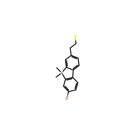 C[Si]1(C)c2cc(Br)ccc2-c2ccc(CCS)cc21